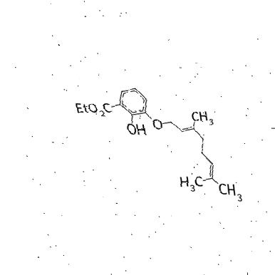 CCOC(=O)c1cccc(OC/C=C(\C)CCC=C(C)C)c1O